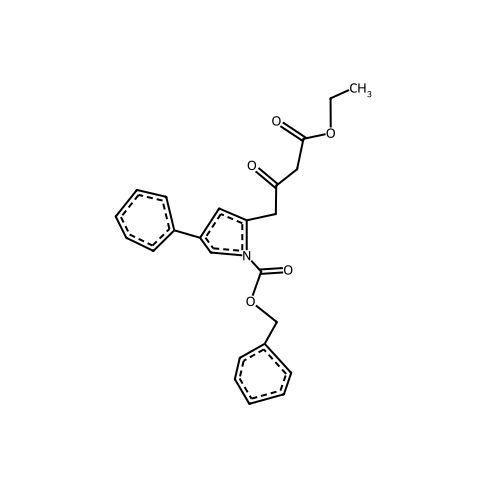 CCOC(=O)CC(=O)Cc1cc(-c2ccccc2)cn1C(=O)OCc1ccccc1